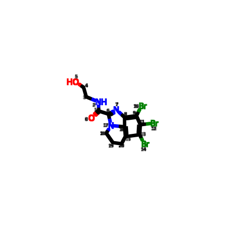 O=C(NCCO)c1nc2c(Br)c(Br)c(Br)c3c2n1CCC3